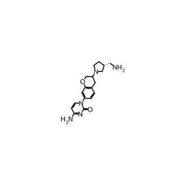 NC[C@H]1CCN(C2COc3cc(-n4ccc(N)nc4=O)ccc3C2)C1